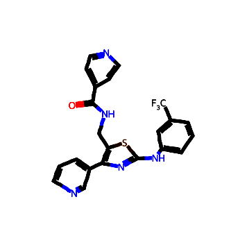 O=C(NCc1sc(Nc2cccc(C(F)(F)F)c2)nc1-c1cccnc1)c1ccncc1